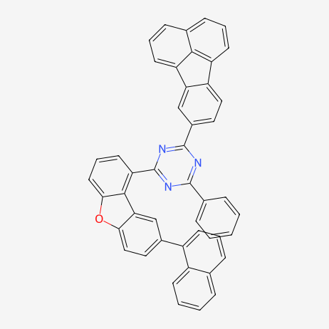 c1ccc(-c2nc(-c3ccc4c(c3)-c3cccc5cccc-4c35)nc(-c3cccc4oc5ccc(-c6cccc7ccccc67)cc5c34)n2)cc1